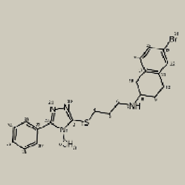 Cn1c(SCCCNC2CCc3cc(Br)ccc3C2)nnc1-c1ccccc1